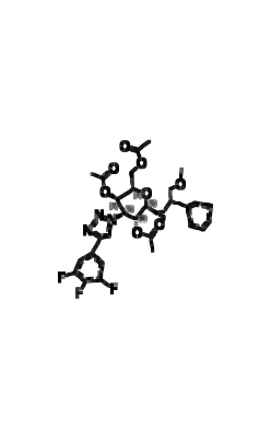 COCC(S[C@@H]1O[C@H](COC(C)=O)[C@H](OC(C)=O)[C@H](n2cc(-c3cc(F)c(F)c(F)c3)nn2)[C@H]1OC(C)=O)c1ccccc1